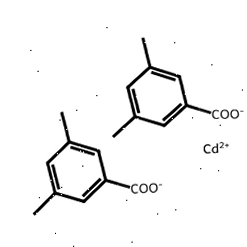 Cc1cc(C)cc(C(=O)[O-])c1.Cc1cc(C)cc(C(=O)[O-])c1.[Cd+2]